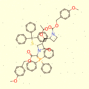 COc1ccc(COC(=O)C(N2C(=O)[C@H](C(OC(C)=O)[C@@H]3CCN3C(=O)OCc3ccc(OC)cc3)[C@H]2SC(c2ccccc2)(c2ccccc2)c2ccccc2)=P(c2ccccc2)(c2ccccc2)c2ccccc2)cc1